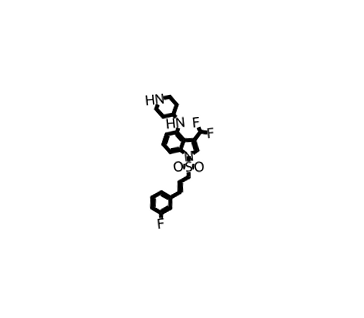 O=S(=O)(CC=Cc1cccc(F)c1)n1cc(C(F)F)c2c(NC3CCNCC3)cccc21